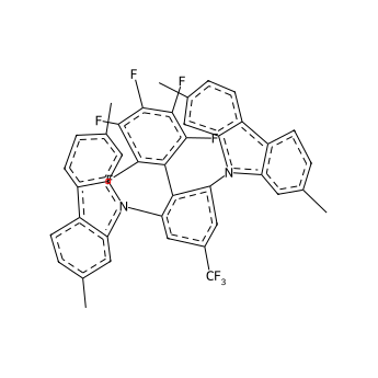 Cc1ccc2c3ccc(C)cc3n(-c3cc(C(F)(F)F)cc(-n4c5cc(C)ccc5c5ccc(C)cc54)c3-c3c(F)c(F)c(F)c(F)c3F)c2c1